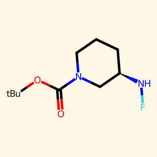 CC(C)(C)OC(=O)N1CCC[C@@H](NF)C1